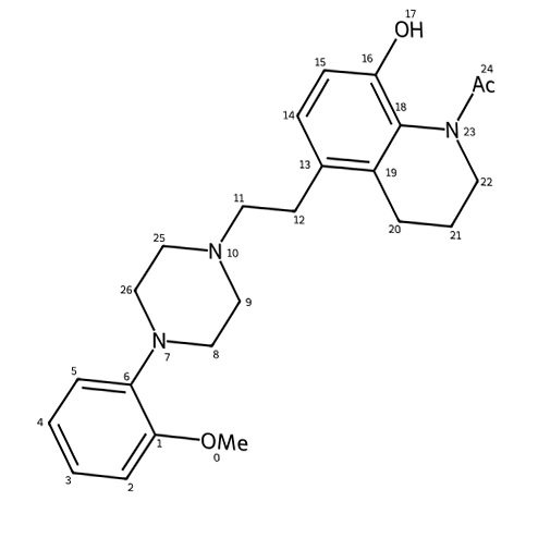 COc1ccccc1N1CCN(CCc2ccc(O)c3c2CCCN3C(C)=O)CC1